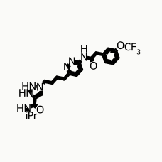 CC(C)NC(=O)C1=CN(CCCCc2ccc(NC(=O)Cc3cccc(OC(F)(F)F)c3)nn2)NN1